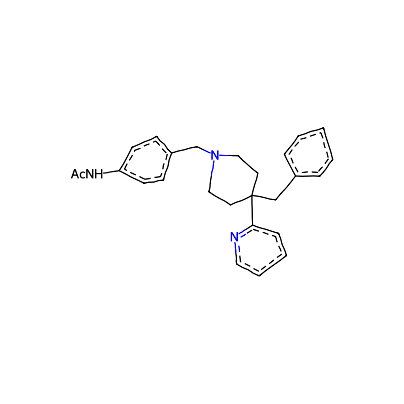 CC(=O)Nc1ccc(CN2CCC(Cc3ccccc3)(c3ccccn3)CC2)cc1